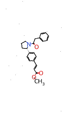 COC(=O)/C=C/c1ccc([C@@H]2CCCN2C(=O)Cc2ccccc2)cc1